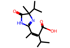 CC(C1=NC(C)(C(C)C)C(=O)N1)=C(C(=O)O)C(C)C